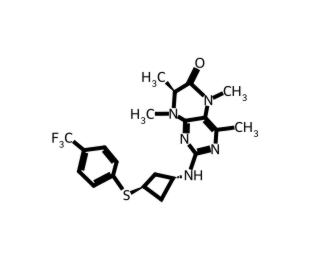 Cc1nc(N[C@H]2C[C@H](Sc3ccc(C(F)(F)F)cc3)C2)nc2c1N(C)C(=O)[C@H](C)N2C